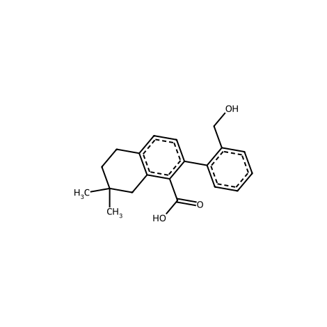 CC1(C)CCc2ccc(-c3ccccc3CO)c(C(=O)O)c2C1